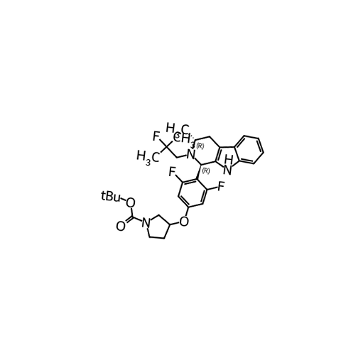 C[C@@H]1Cc2c([nH]c3ccccc23)[C@@H](c2c(F)cc(OC3CCN(C(=O)OC(C)(C)C)C3)cc2F)N1CC(C)(C)F